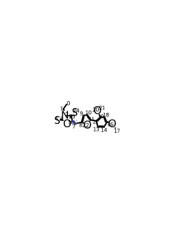 CCN1C(=S)O/C(=C/c2ccc(-c3ccc(OC)cc3OC)o2)C1=S